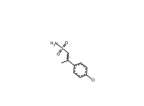 C/C(=C\S(N)(=O)=O)c1ccc(Cl)cc1